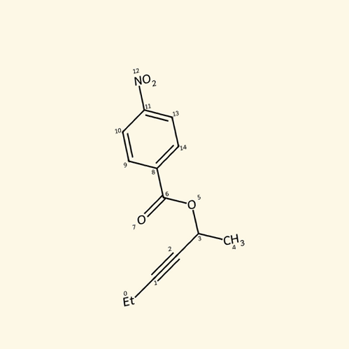 CCC#CC(C)OC(=O)c1ccc([N+](=O)[O-])cc1